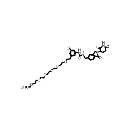 O=CCOCCOCCOCCOCCOCCOCCc1cc(Cl)cc(NC(=O)NCc2ccc3c(c2)CN(C2CCC(=O)NC2=O)C3=O)c1